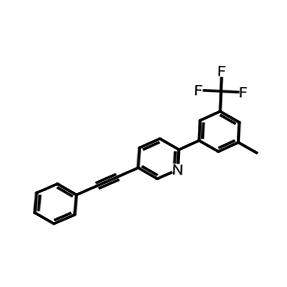 Cc1cc(-c2ccc(C#Cc3ccccc3)cn2)cc(C(F)(F)F)c1